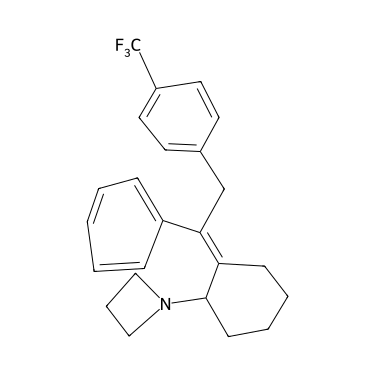 FC(F)(F)c1ccc(C/C(=C2\CCCCC2N2CCC2)c2ccccc2)cc1